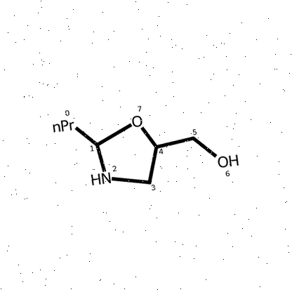 CCCC1NCC(CO)O1